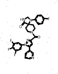 O=C(c1cc(-c2cccnc2)n(-c2cc(F)c(F)c(F)c2)n1)N1CCC2(CC1)C(=O)NCN2c1ccc(F)cc1